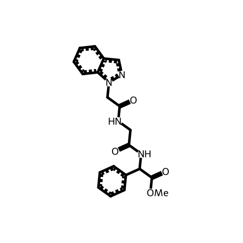 COC(=O)C(NC(=O)CNC(=O)Cn1ncc2ccccc21)c1ccccc1